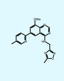 COc1cc(-c2ccc(C)cn2)cc2c(NCc3noc(C)n3)ncnc12